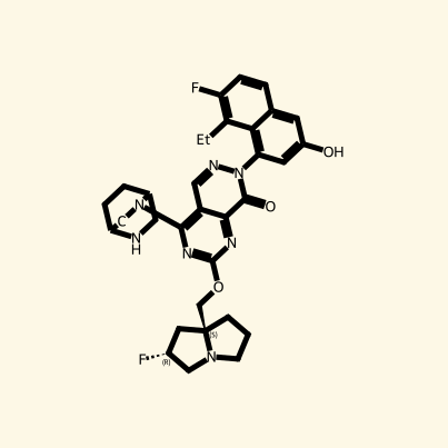 CCc1c(F)ccc2cc(O)cc(-n3ncc4c(N5CC6CCC5CN6)nc(OC[C@@]56CCCN5C[C@H](F)C6)nc4c3=O)c12